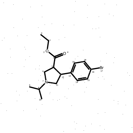 CCOC(=O)C1CN(C(C)C)CC1c1ccc(Br)cc1